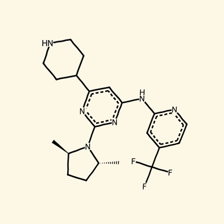 C[C@@H]1CC[C@@H](C)N1c1nc(Nc2cc(C(F)(F)F)ccn2)cc(C2CCNCC2)n1